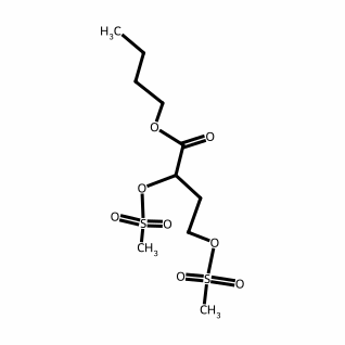 CCCCOC(=O)C(CCOS(C)(=O)=O)OS(C)(=O)=O